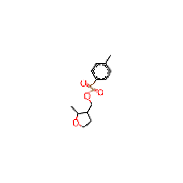 Cc1ccc(S(=O)(=O)OCC2CCOC2C)cc1